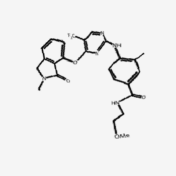 COCCNC(=O)c1ccc(Nc2ncc(C(F)(F)F)c(Oc3cccc4c3C(=O)N(C)C4)n2)c(C)c1